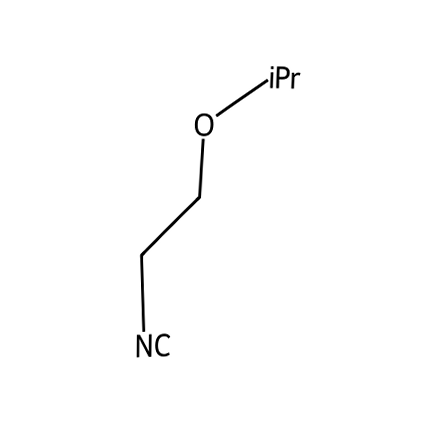 [C-]#[N+]CCOC(C)C